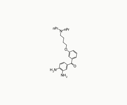 CCCN(CCC)CCCCOc1cccc(C(=O)c2ccc(N)c(N)c2)c1